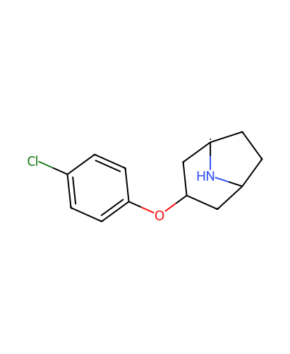 Clc1ccc(OC2C[C]3CCC(C2)N3)cc1